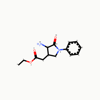 CCOC(=O)CC1CN(c2ccccc2)C(=O)C1N